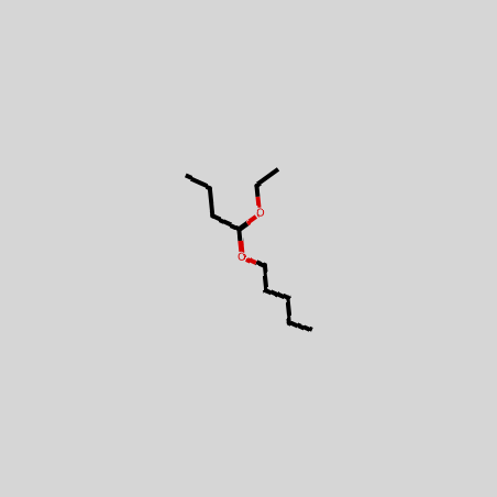 CCCCCOC(CCC)OCC